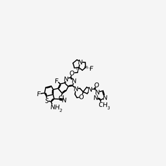 Cc1ncn(C(=O)N2CC3(C2)CN(c2nc(OC[C@@]45CCCN4C[C@H](F)C5)nc4c(F)c(-c5ccc(F)c6sc(N)c(C#N)c56)c(Cl)cc24)CCO3)n1